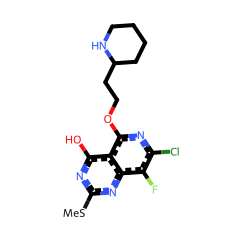 CSc1nc(O)c2c(OCCC3CCCCN3)nc(Cl)c(F)c2n1